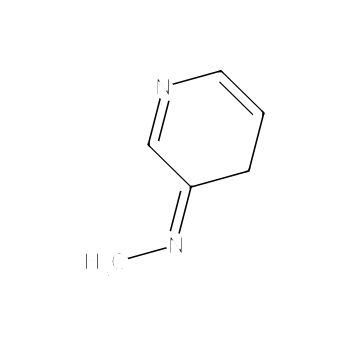 CN=C1C=NC=CC1